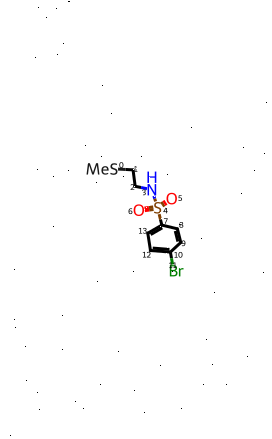 CSCCNS(=O)(=O)c1ccc(Br)cc1